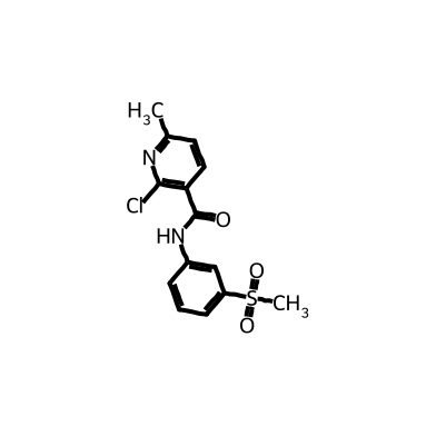 Cc1ccc(C(=O)Nc2cccc(S(C)(=O)=O)c2)c(Cl)n1